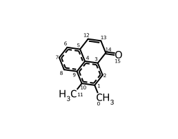 Cc1cc2c3c(cccc3c1C)C=CC2=O